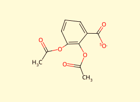 CC(=O)Oc1cccc(C(=O)[5O])c1OC(C)=O